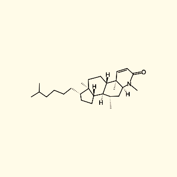 CC(C)CCCC[C@H]1CC[C@H]2[C@@H]3[C@@H](C)C[C@@H]4N(C)C(=O)C=C[C@]4(C)[C@H]3CC[C@]12C